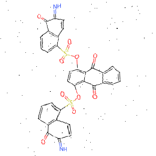 N=C1C=Cc2c(cccc2S(=O)(=O)Oc2ccc(OS(=O)(=O)c3cccc4c3C=CC(=N)C4=O)c3c2C(=O)c2ccccc2C3=O)C1=O